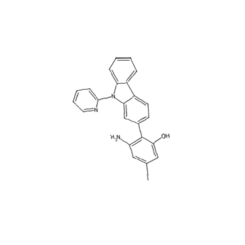 Cc1cc(N)c(-c2ccc3c4ccccc4n(-c4ccccn4)c3c2)c(O)c1